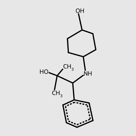 CC(C)(O)C(NC1CCC(O)CC1)c1ccccc1